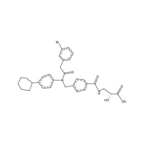 O=C(NC[C@@H](O)C(=O)O)c1ccc(CN(C(=O)Cc2cccc(Br)c2)c2ccc(C3CCCCC3)cc2)cc1